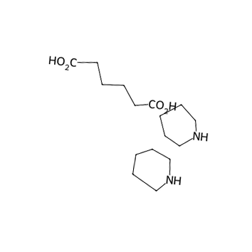 C1CCNCC1.C1CCNCC1.O=C(O)CCCCC(=O)O